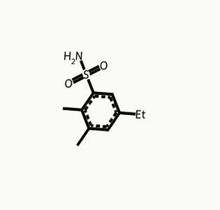 CCc1cc(C)c(C)c(S(N)(=O)=O)c1